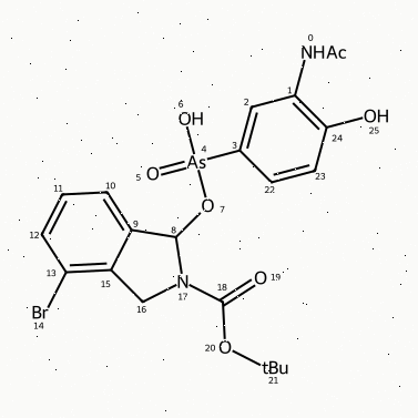 CC(=O)Nc1cc([As](=O)(O)OC2c3cccc(Br)c3CN2C(=O)OC(C)(C)C)ccc1O